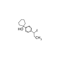 CCC(I)c1ccc(C2(O)CCCCC2)cc1